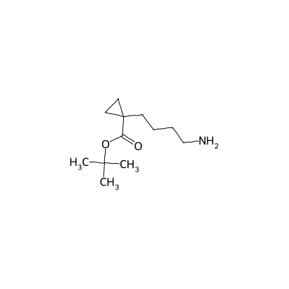 CC(C)(C)OC(=O)C1(CCCCN)CC1